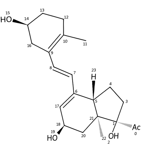 CC(=O)[C@@]1(O)CC[C@H]2C(/C=C/C3=C(C)CC[C@H](O)C3)=C[C@H](O)C[C@@]21C